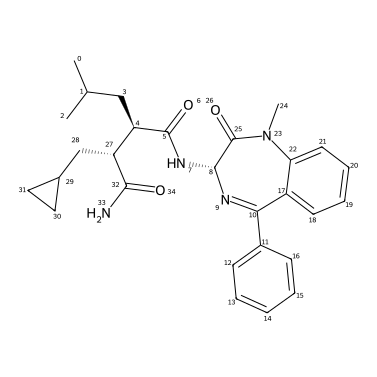 CC(C)C[C@@H](C(=O)N[C@H]1N=C(c2ccccc2)c2ccccc2N(C)C1=O)[C@@H](CC1CC1)C(N)=O